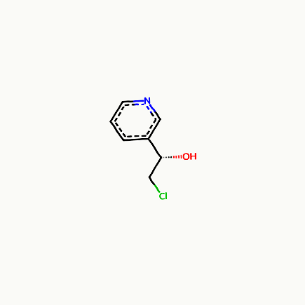 O[C@H](CCl)c1cccnc1